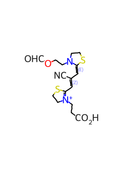 N#CC(=C\C1=[N+](CCC(=O)O)CCS1)/C=C1/SCCN1CCOC=O